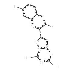 Cc1nc2ccc(F)cc2nc1-c1cc2nc(S)nc(O)n2n1